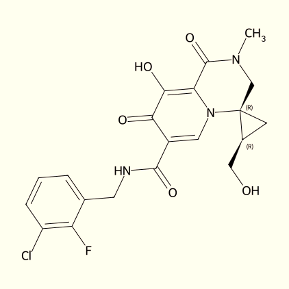 CN1C[C@]2(C[C@H]2CO)n2cc(C(=O)NCc3cccc(Cl)c3F)c(=O)c(O)c2C1=O